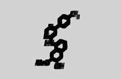 CO[C@H]1Cc2c(cccc2Nc2cc(-c3ccc(C(F)(F)F)cc3)ncn2)C[C@@H]1O